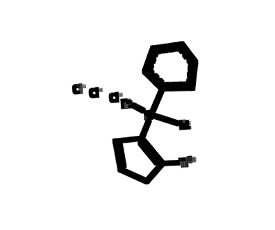 CC[Si](CC)(C1=[C]([Ti+3])CC=C1)c1ccccc1.[Cl-].[Cl-].[Cl-]